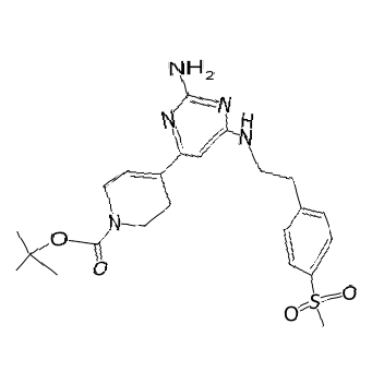 CC(C)(C)OC(=O)N1CC=C(c2cc(NCCc3ccc(S(C)(=O)=O)cc3)nc(N)n2)CC1